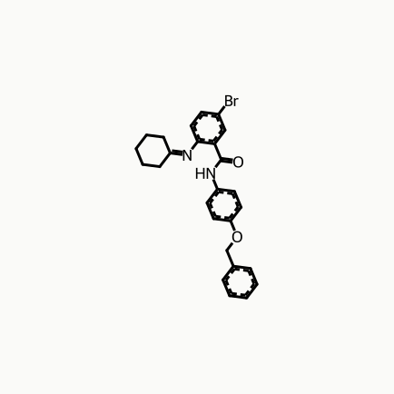 O=C(Nc1ccc(OCc2ccccc2)cc1)c1cc(Br)ccc1N=C1CCCCC1